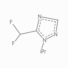 CC(C)n1ncnc1C(F)F